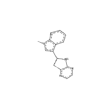 Cn1cc(C2Cc3nccnc3N2)c2ccccc21